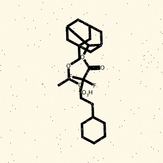 CC(OCCC1CCCCC1)OCC12CC3CC(C1)C(OC(=O)C(F)(F)S(=O)(=O)O)C(C3)C2